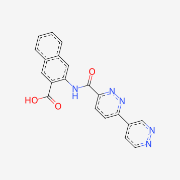 O=C(Nc1cc2ccccc2cc1C(=O)O)c1ccc(-c2ccnnc2)nn1